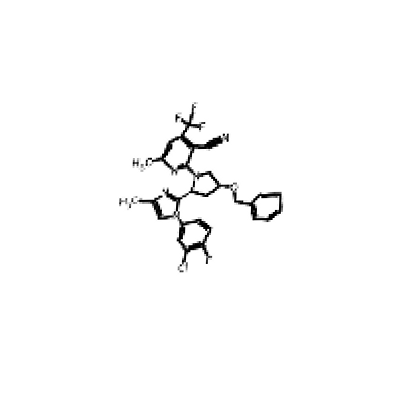 Cc1cc(C(F)(F)F)c(C#N)c(N2C[C@@H](OCc3ccccc3)C[C@H]2c2nc(C)cn2-c2ccc(F)c(Cl)c2)n1